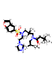 CC(C)CN(CC(C)(C)CN(CCn1ccnc1)S(=O)(=O)c1ccc2occc2c1)C(=O)CC(C)(C)C